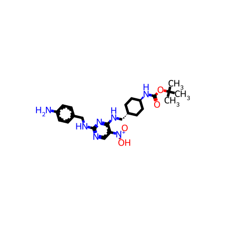 CC(C)(C)OC(=O)N[C@H]1CC[C@H](CNc2nc(NCc3ccc(N)cc3)ncc2[N+](=O)O)CC1